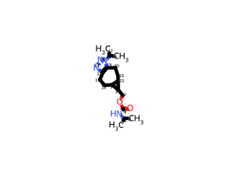 CC(C)NC(=O)OCC1C2CCc3nnn(C(C)C)c3CCC21